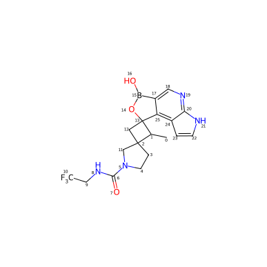 CC1C2(CCN(C(=O)NCC(F)(F)F)C2)CC12OB(O)c1cnc3[nH]ccc3c12